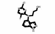 OCCCN(c1nc(Cl)ncc1F)c1cccc2[nH]ncc12